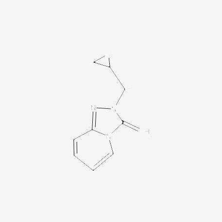 C=C1N(CC2CO2)N=C2C=CC=CN12